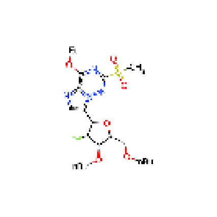 CCCCOC[C@H]1OC(c2cnc3c(OCC)nc(S(C)(=O)=O)nn23)[C@H](F)[C@@H]1OCCCC